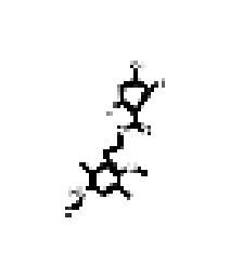 COc1c(C)cc(NC=O)c(C)c1CCOC(=O)c1cc(Cl)c(O)cc1O